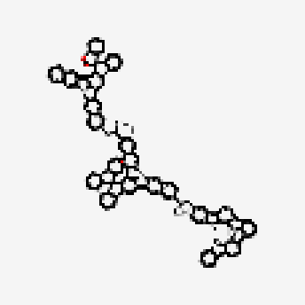 CC(Cc1ccc2sc3c(ccc4c5cccc6c7ccc8c9ccccc9sc8c7n(c65)c43)c2c1)c1ccc2cc3c(cc2c1)c1cc2c(c4c5cc6cc(C(C)Cc7ccc8cc9c(cc8c7)c7cc8c(c%10c%11cc%12ccccc%12cc%11n9c7%10)C7(c9ccccc9-c9ccccc97)c7ccccc7-8)ccc6cc5n3c14)C1(c3ccccc3-c3ccccc31)c1ccccc1-2